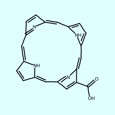 O=C(O)C1=Cc2cc3ccc(cc4nc(cc5ccc(cc1n2)[nH]5)C=C4)[nH]3